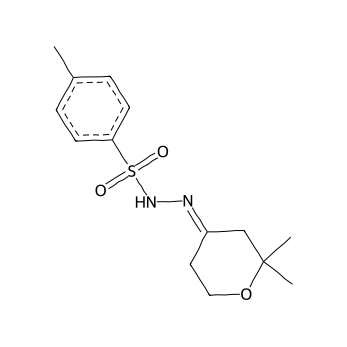 Cc1ccc(S(=O)(=O)N/N=C2\CCOC(C)(C)C2)cc1